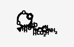 Nc1ccc(C[C@H](NC(=O)N[C@@H]2Cc3ccc(cc3)OCCCCOC[C@H](C3CC3)NC2=O)C(=O)O)cn1